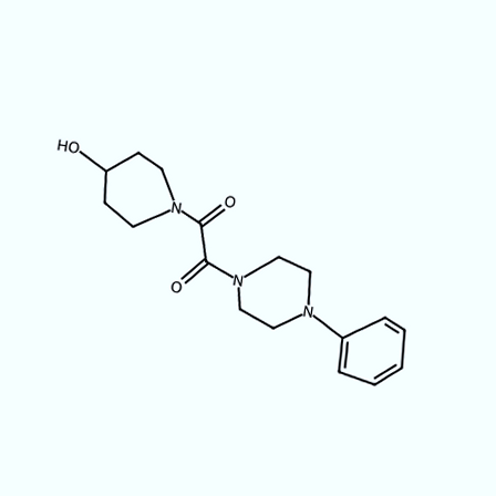 O=C(C(=O)N1CCN(c2ccccc2)CC1)N1CCC(O)CC1